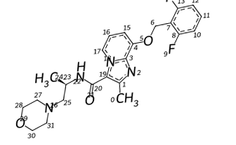 Cc1nc2c(OCc3c(F)cccc3F)cccn2c1C(=O)N[C@H](C)CN1CCOCC1